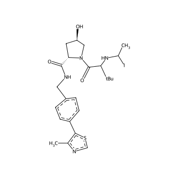 Cc1ncsc1-c1ccc(CNC(=O)[C@@H]2C[C@@H](O)CN2C(=O)C(NC(C)I)C(C)(C)C)cc1